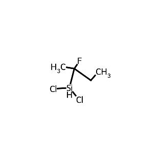 CCC(C)(F)[SiH](Cl)Cl